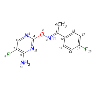 C/C(=N\Oc1ncc(F)c(N)n1)c1ccc(F)cc1